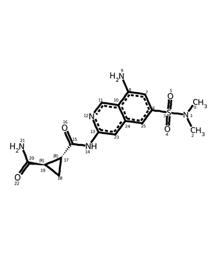 CN(C)S(=O)(=O)c1cc(N)c2cnc(NC(=O)[C@@H]3C[C@H]3C(N)=O)cc2c1